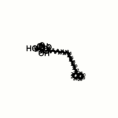 O=C[C@H](OC(=O)CCCCCCC/C=C\CCCCCCCCC1CCCc2ccccc21)[C@@H](O)[C@H](O)CO